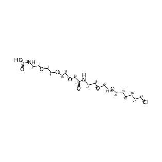 O=C(O)NCCOCCOCCOCC(=O)NCCOCCOCCCCCCCl